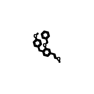 COC=Cc1ccc(Cc2ccc(OC)cc2)c(OCc2ccccc2)c1